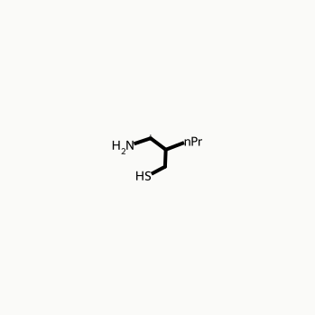 CCCC([CH]N)CS